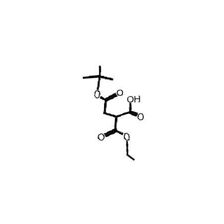 CCOC(=O)C(CC(=O)OC(C)(C)C)C(=O)O